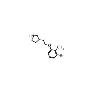 Cc1c(Br)cccc1OCC[C@H]1CCNC1